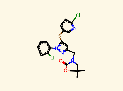 CC(C)(C)CN(Cc1cc(Sc2ccc(Cl)nc2)n(-c2ccccc2Cl)n1)C(=O)O